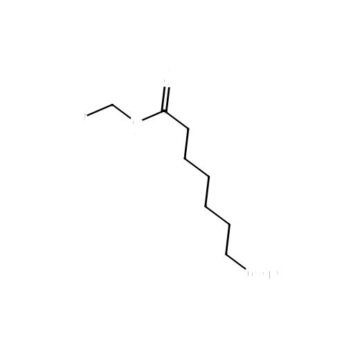 CCCCCCCCCCCCCC(=O)OCI